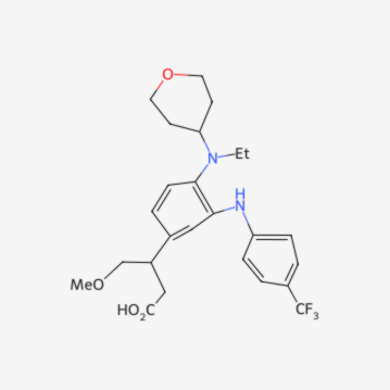 CCN(c1ccc(C(COC)CC(=O)O)cc1Nc1ccc(C(F)(F)F)cc1)C1CCOCC1